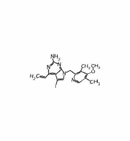 C=Cc1nc(N)nc2c1c(I)cn2Cc1ncc(C)c(OC)c1C